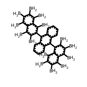 Bc1c(B)c(B)c2c(B)c(-c3c4ccccc4c(-c4c(B)c(B)c(B)c5c(B)c(B)c(B)c(B)c45)c4ccccc34)c(B)c(B)c2c1B